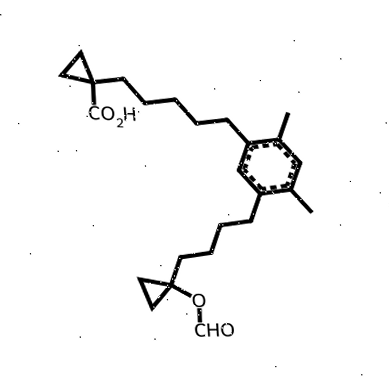 Cc1cc(C)c(CCCCC2(OC=O)CC2)cc1CCCCCC1(C(=O)O)CC1